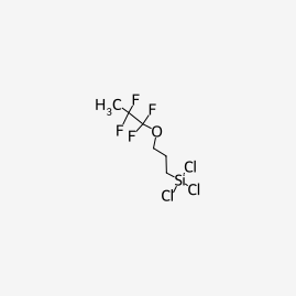 CC(F)(F)C(F)(F)OCCC[Si](Cl)(Cl)Cl